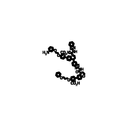 Nc1cccc(OCCOc2ccc(-c3ccc4c(c3)N(C(=O)Nc3nc5ccccc5s3)CCC4c3ccc4nc(NC(=O)N5CCOc6ccc(-c7ccc(OCCCOc8ccccc8)c(C(=O)O)n7)cc65)sc4c3)nc2C(=O)O)c1